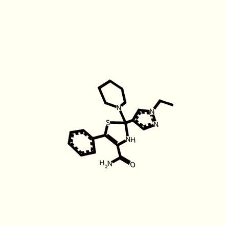 CCn1cc(C2(N3CCCCC3)NC(C(N)=O)=C(c3ccccc3)S2)cn1